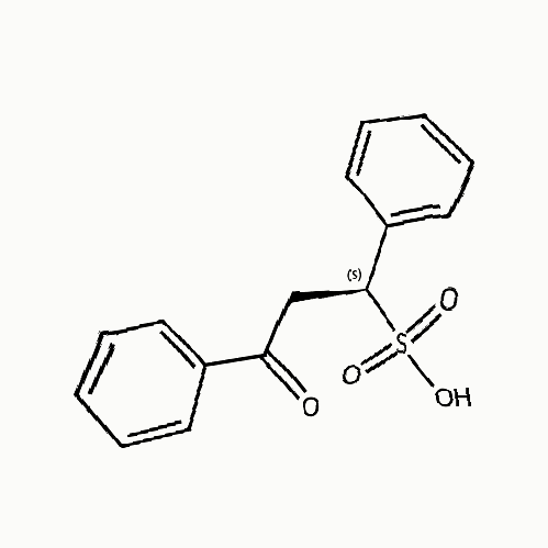 O=C(C[C@@H](c1ccccc1)S(=O)(=O)O)c1ccccc1